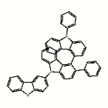 c1ccc(-c2ccc3c(c2-c2cccc4c2c2ccccc2n4-c2ccccc2)c2ccccc2n3-c2ccc3oc4ccccc4c3c2)cc1